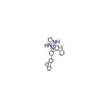 C1=CC2Nc3c(n4c5ccc(-c6ccc7c(c6)oc6ccccc67)cc5c5c6c(cc3c54)SC3C=CC=CC63)NC2C=C1